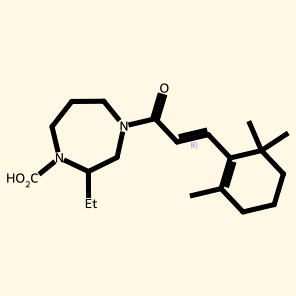 CCC1CN(C(=O)/C=C/C2=C(C)CCCC2(C)C)CCCN1C(=O)O